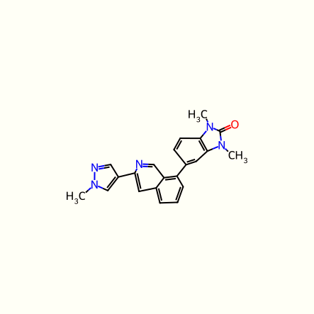 Cn1cc(-c2cc3cccc(-c4ccc5c(c4)n(C)c(=O)n5C)c3cn2)cn1